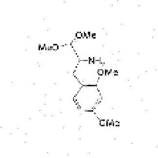 COc1ccc(CC(N)C(OC)OC)c(OC)c1